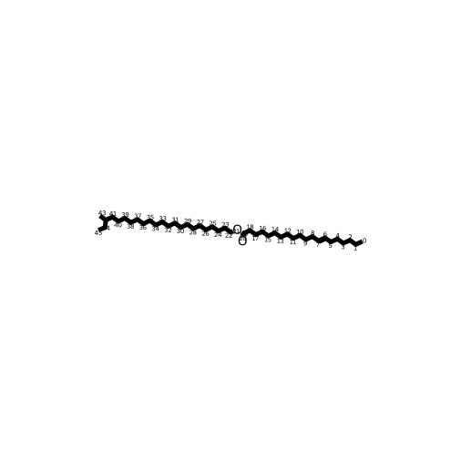 CCCCCCC=CCCCCCCCCCCCC(=O)OCCCCCCCCCCCCCCCCCCCCC(C)CC